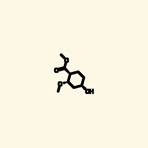 COC(=O)[C@H]1CC[C@@H](O)C[C@@H]1OC